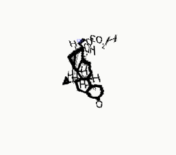 C[C@]12CC[C@H]3[C@H]([C@@H]1[C@H]1C[C@H]1[C@@]2(O)/C=C\OC(=O)O)[C@@H](C1CC1)CC1=CC(=O)CC[C@@H]13